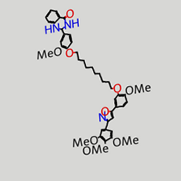 COc1cc(C2NC(=O)c3ccccc3N2)ccc1OCCCCCCCCCCOc1cc(-c2cc(-c3cc(OC)c(OC)c(OC)c3)no2)ccc1OC